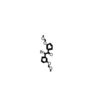 COCOc1cccc(C(=O)C(Br)c2cccc(OCOC)c2)c1